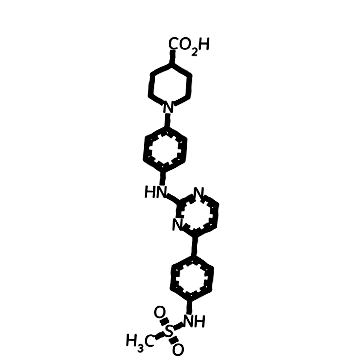 CS(=O)(=O)Nc1ccc(-c2ccnc(Nc3ccc(N4CCC(C(=O)O)CC4)cc3)n2)cc1